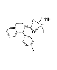 O=C(OC1CNCC1(F)F)N1CCc2ccccc2[C@@H]1c1ccc(F)cc1